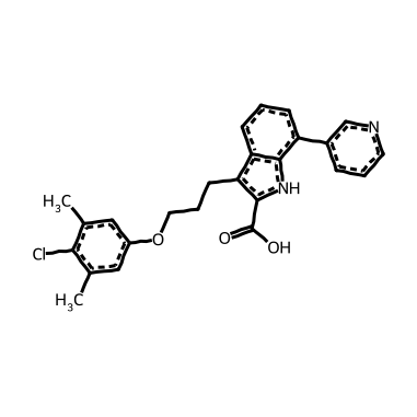 Cc1cc(OCCCc2c(C(=O)O)[nH]c3c(-c4cccnc4)cccc23)cc(C)c1Cl